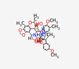 COc1ccc2oc3c(c2c1)CCN[C@]31CS[C@@H]2c3c(OC(C)=O)c(C)c4c(c3[C@H](COC1=O)N1[C@@H]2C2c3c(cc(C)c(OC)c3O)[C@@]3(C)C[C@H]([C@@H]1O)N23)OCO4